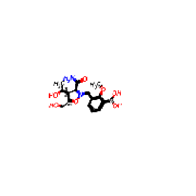 COc1c(CN2O[C@@H](CO)[C@@H]([C@H](C)O)C2C(N)=O)cccc1B(O)O